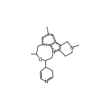 Cc1cc2c3c(c1)c1c(n3CC(C3C=CN=CC3)OC(C)C2)CCN(C)C1